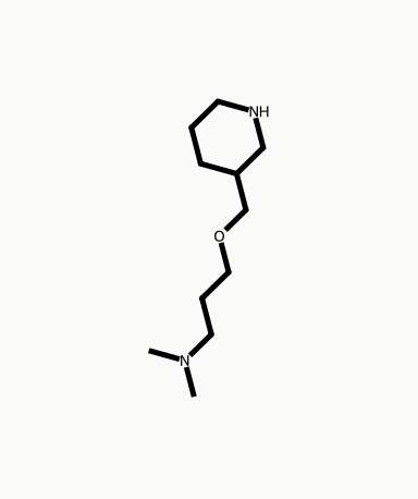 CN(C)CCCOCC1CCCNC1